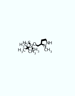 CN1NC=CC1CO[Si](C)(C)C(C)(C)C